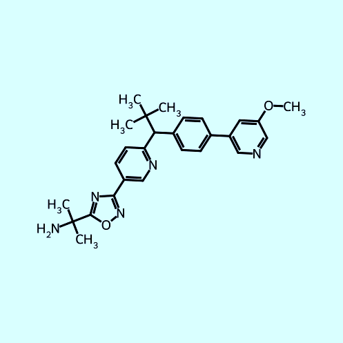 COc1cncc(-c2ccc(C(c3ccc(-c4noc(C(C)(C)N)n4)cn3)C(C)(C)C)cc2)c1